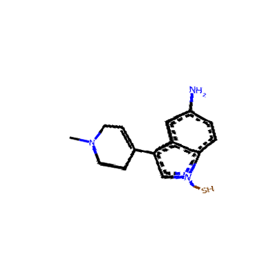 CN1CC=C(c2cn(S)c3ccc(N)cc23)CC1